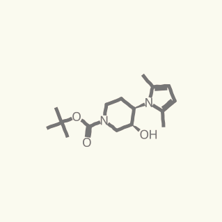 Cc1ccc(C)n1[C@@H]1CCN(C(=O)OC(C)(C)C)C[C@@H]1O